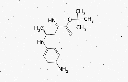 C[C@@H](CC(=N)C(=O)OC(C)(C)C)Nc1ccc(N)cc1